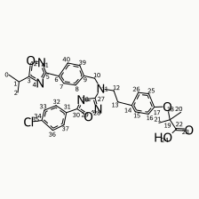 CC(C)c1nc(-c2ccc(CN(CCc3ccc(OC(C)(C)C(=O)O)cc3)c3noc(-c4ccc(Cl)cc4)n3)cc2)no1